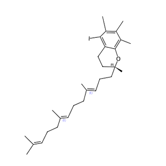 CC(C)=CCC/C(C)=C/CC/C(C)=C/CC[C@]1(C)CCc2c(I)c(C)c(C)c(C)c2O1